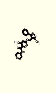 Cc1cc(OCc2c(-c3ccccc3)noc2C)nnc1C(=O)NC1CCOCC1